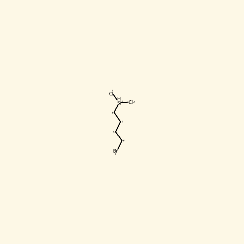 Cl[SiH](Cl)CCCCBr